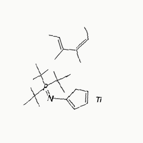 CC(C)(C)P(=NC1=CC=CC1)(C(C)(C)C)C(C)(C)C.CC=C(C)C(C)=CC.[Ti]